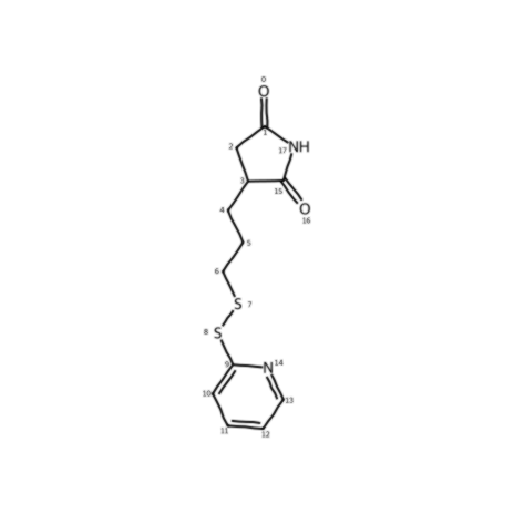 O=C1CC(CCCSSc2ccccn2)C(=O)N1